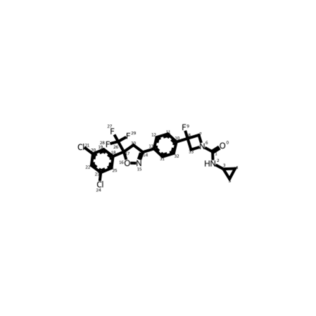 O=C(NC1CC1)N1CC(F)(c2ccc(C3=NOC(c4cc(Cl)cc(Cl)c4)(C(F)(F)F)C3)cc2)C1